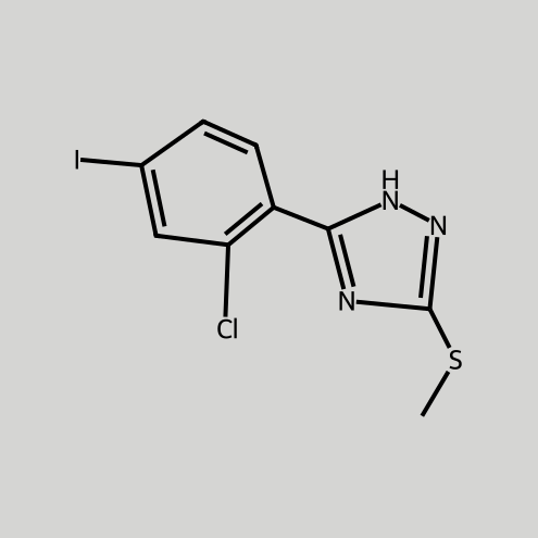 CSc1n[nH]c(-c2ccc(I)cc2Cl)n1